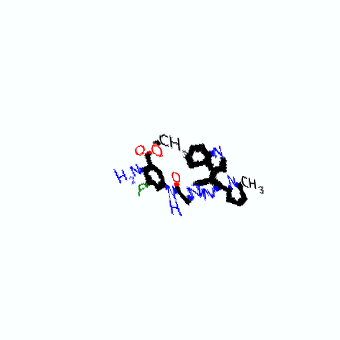 CCOC(=O)c1cc(NC(=O)Cn2cc(-c3ccnc4ccccc34)c(-c3cccc(C)n3)n2)cc(F)c1N